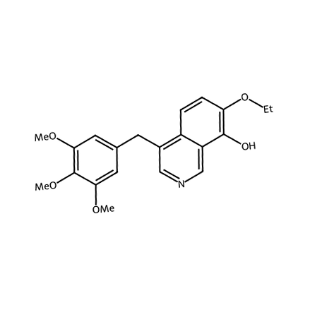 CCOc1ccc2c(Cc3cc(OC)c(OC)c(OC)c3)cncc2c1O